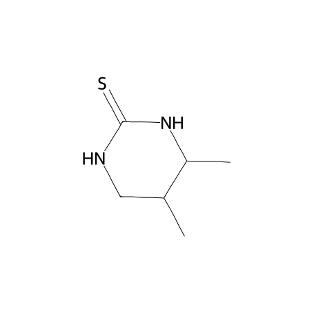 CC1CNC(=S)NC1C